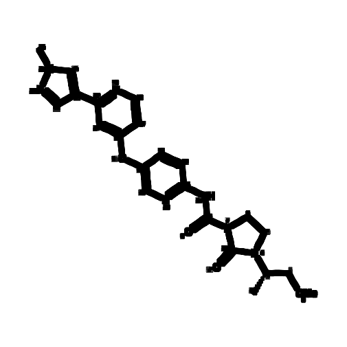 COC[C@H](C)N1CCN(C(=O)Nc2ccc(Oc3ccnc(-c4cnn(C)c4)c3)cn2)C1=O